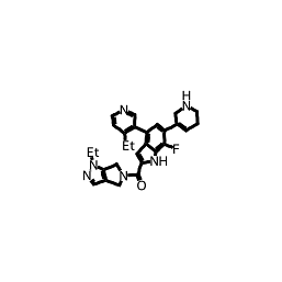 CCc1ccncc1-c1cc(C2=CCCNC2)c(F)c2[nH]c(C(=O)N3Cc4cnn(CC)c4C3)cc12